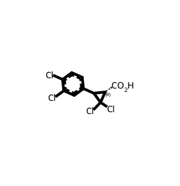 O=C(O)[C@H]1C(c2ccc(Cl)c(Cl)c2)C1(Cl)Cl